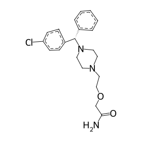 NC(=O)COCCN1CCN([C@@H](c2ccccc2)c2ccc(Cl)cc2)CC1